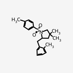 Cc1ccc(S(=O)(=O)N2CC(C)(C)CC2Cc2ccccc2C)cc1